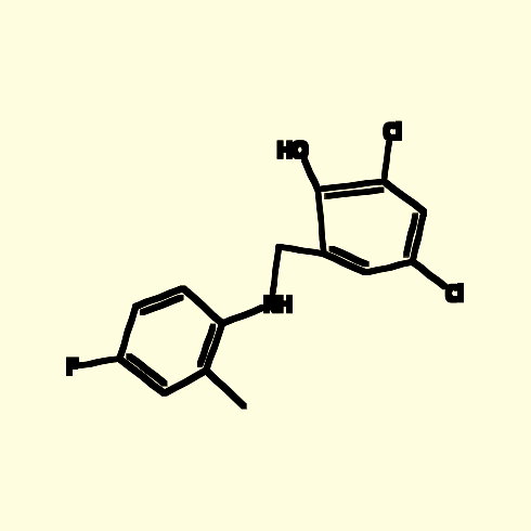 Cc1cc(F)ccc1NCc1cc(Cl)cc(Cl)c1O